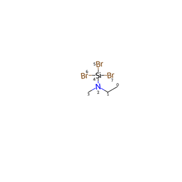 CCN(C)[Si](Br)(Br)Br